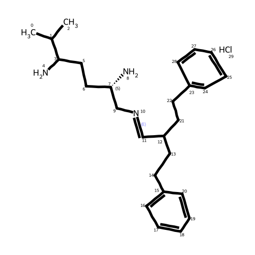 CC(C)C(N)CC[C@H](N)C/N=C/C(CCc1ccccc1)CCc1ccccc1.Cl